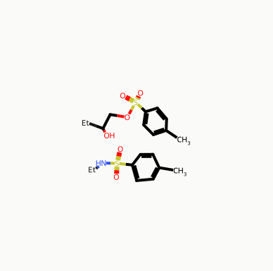 CCC(O)COS(=O)(=O)c1ccc(C)cc1.CCNS(=O)(=O)c1ccc(C)cc1